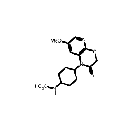 COc1cnc2c(c1)N(C1CCC(NC(=O)O)CC1)C(=O)CO2